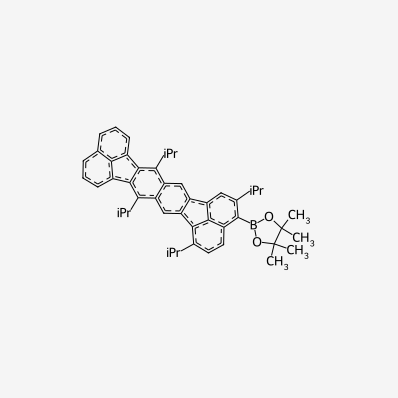 CC(C)c1cc2c3cc4c(C(C)C)c5c6cccc7cccc(c5c(C(C)C)c4cc3c3c(C(C)C)ccc(c1B1OC(C)(C)C(C)(C)O1)c23)c76